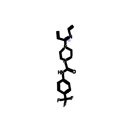 C=C/N=C(\C=C)N1CCN(C(=O)Nc2ccc(C(F)(F)F)cc2)CC1